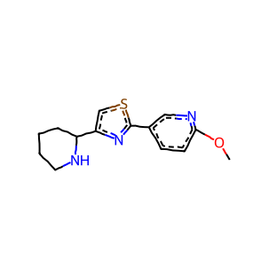 COc1ccc(-c2nc(C3CCCCN3)cs2)cn1